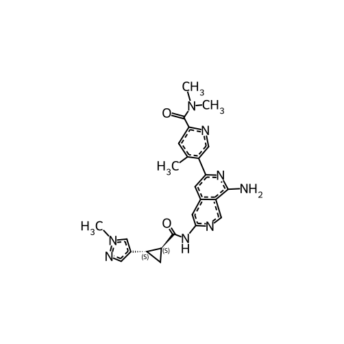 Cc1cc(C(=O)N(C)C)ncc1-c1cc2cc(NC(=O)[C@H]3C[C@@H]3c3cnn(C)c3)ncc2c(N)n1